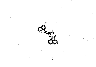 CC(C)(C[C@@](O)(CNc1cccc2cnccc12)C(F)(F)F)c1cc(F)cc2c1OCC2